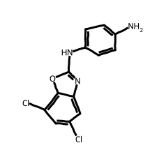 Nc1ccc(Nc2nc3cc(Cl)cc(Cl)c3o2)cc1